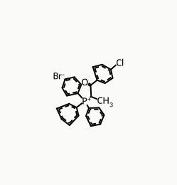 CC(C(=O)c1ccc(Cl)cc1)[P+](c1ccccc1)(c1ccccc1)c1ccccc1.[Br-]